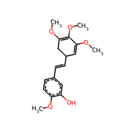 COC1=CC(C=Cc2ccc(OC)c(O)c2)CC(OC)=C1OC